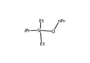 CC[CH]O[Si](CC)(CC)C(C)C